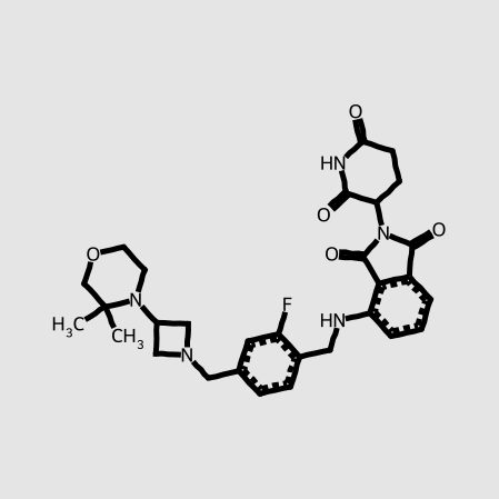 CC1(C)COCCN1C1CN(Cc2ccc(CNc3cccc4c3C(=O)N(C3CCC(=O)NC3=O)C4=O)c(F)c2)C1